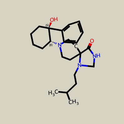 CC(C)CCN1CNC(=O)C12CCN([C@@H]1CCCC[C@]1(O)c1ccccc1)CC2